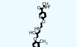 CNC(=O)c1ccc(OCCNCC(O)COc2ccccc2C)nc1